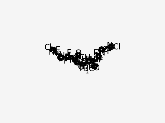 CC1(C)COCC1n1c(Cc2cc(F)c(-c3cccc(OCc4ncc(Cl)cc4F)n3)cc2F)nc2ccc(C(=O)OC(=O)c3ccc4nc(Cc5cc(F)c(-c6cccc(OCc7ncc(Cl)cc7F)n6)cc5F)n(C5COCC5(C)C)c4c3)cc21